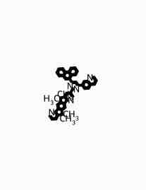 CC1(C)c2cc3c(cc2-c2ncccc21)C(C)(C)c1cc(-c2nc(-c4ccc5cccnc5c4)cc(-c4cc5ccccc5c5ccccc45)n2)cnc1-3